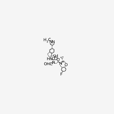 Cn1cc(-c2ccc3c(c2)CCC3(S)NC(=O)N(C=O)CC(=O)N2Cc3cc(F)ccc3OC[C@H]2C2CC2)cn1